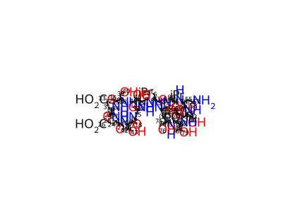 CC[C@H](C)[C@H](NC(=O)[C@H](CC(C)C)NC(=O)[C@@H](NC(=O)CNC(=O)[C@@H](NC(=O)[C@H](CCC(=O)O)NC(=O)[C@H](CCC(=O)O)NC(=O)[C@@H](N)CO)[C@@H](C)O)[C@@H](C)O)C(=O)N[C@H](C(=O)N[C@@H](CC(N)=O)C(=O)N[C@@H](CO)C(=O)N[C@H](C(=O)N[C@H](C(=O)O)[C@@H](C)O)[C@@H](C)O)C(C)C